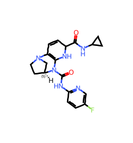 O=C(NC1CC1)C1C=CC2=C(N1)N(C(=O)Nc1ccc(F)cn1)[C@H]1CCN2C1